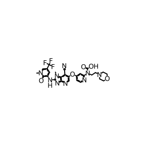 Cn1cc(C(F)(F)F)cc(Nc2nc3ncc(Oc4ccnc(N(CCN5CCOCC5)C(=O)O)c4)c(C#N)c3n2C)c1=O